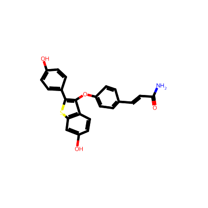 NC(=O)C=Cc1ccc(Oc2c(-c3ccc(O)cc3)sc3cc(O)ccc23)cc1